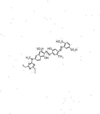 Cc1cc(/N=N/c2c(S(=O)(=O)O)cc3cc(N(C)c4nc(CI)nc(CI)n4)ccc3c2O)c(O)cc1/N=N/c1cc(S(=O)(=O)O)ccc1S(=O)(=O)O